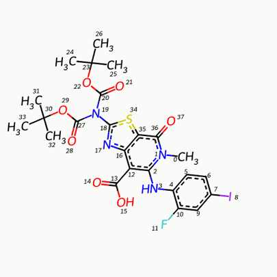 Cn1c(Nc2ccc(I)cc2F)c(C(=O)O)c2nc(N(C(=O)OC(C)(C)C)C(=O)OC(C)(C)C)sc2c1=O